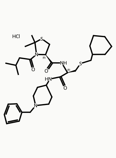 CC(C)CC(=O)N1[C@H](C(=O)N[C@@H](CSCC2CCCCC2)C(=O)NC2CCN(Cc3ccccc3)CC2)CSC1(C)C.Cl